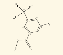 Cc1cc(C(=O)CBr)cc(C(F)(F)F)c1